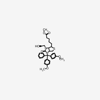 C#CCN1C(=O)N(C(c2ccccc2)(c2ccc(OC)cc2)c2ccc(OC)cc2)C2CSC(CCCCC(=O)OC)C21